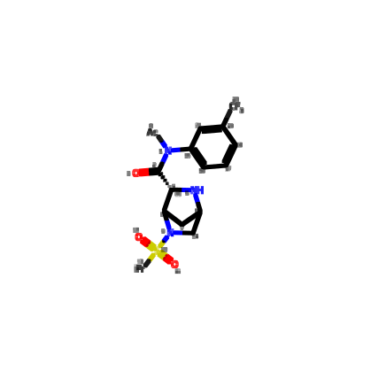 CC(=O)N(C(=O)[C@@H]1NC2CC1N(S(=O)(=O)C(C)C)C2)c1cccc(C(F)(F)F)c1